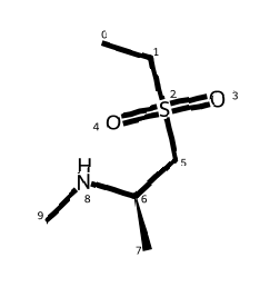 CCS(=O)(=O)C[C@@H](C)NC